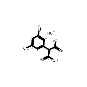 Cl.O=C(O)C(C(=O)Cl)c1cc(Cl)cc(Cl)c1